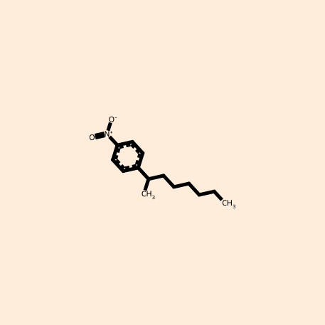 CCCCCCC(C)c1ccc([N+](=O)[O-])cc1